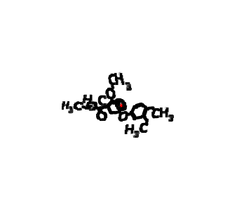 CCOC(=O)C(C)(CC(=O)Oc1ccc(CC)c(CC)c1)C(=O)OCC